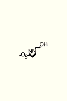 COSc1ccn(CCO)n1